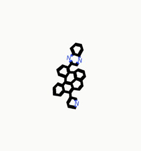 c1ccc(-c2c(-c3cnc4ccccc4n3)cccc2-c2c3ccccc3c(-c3cccnc3)c3ccccc23)cc1